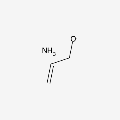 C=CC[O].N